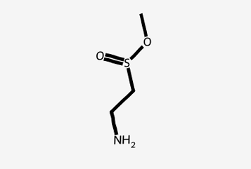 COS(=O)CCN